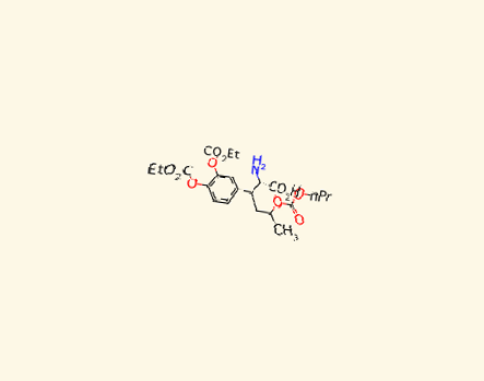 CCCOC(=O)OC(C)CC(c1ccc(OC(=O)OCC)c(OC(=O)OCC)c1)[C@H](N)C(=O)O